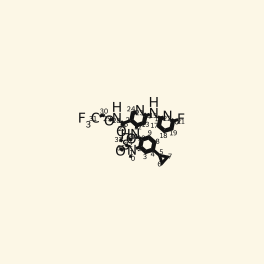 CN(c1cc(C2CC2)ccc1Nc1cc(Nc2cccc(F)n2)ncc1C(=O)NOCC(F)(F)F)S(C)(=O)=O